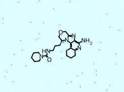 Nc1nc2c(c3c1nc1n3[C@@H](CCCNC(=O)N3CCCCC3)COC1)CCCC2